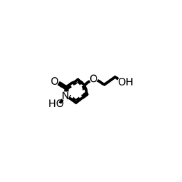 O=c1cc(OCCO)ccn1O